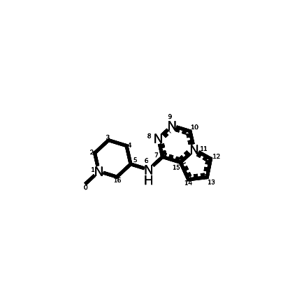 CN1CCCC(Nc2nncn3cccc23)C1